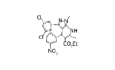 CCOC(=O)C1=C(C)Nc2c(c(-c3cc(Cl)cc(Cl)c3)nn2C)C1c1cccc([N+](=O)[O-])c1